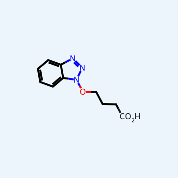 O=C(O)CCCOn1nnc2ccccc21